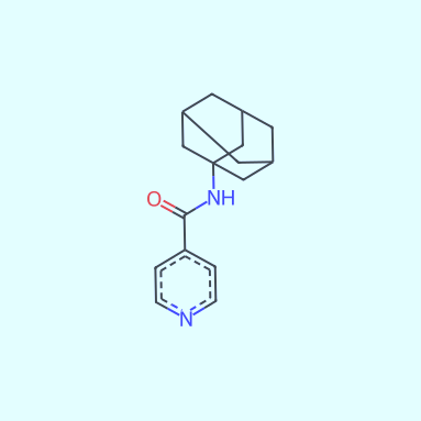 O=C(NC12CC3CC(CC(C3)C1)C2)c1ccncc1